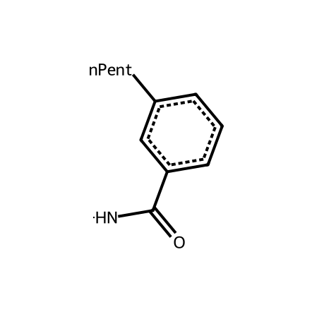 CCCCCc1cccc(C([NH])=O)c1